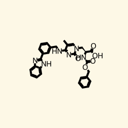 Cc1cn(C[C@H](NC(=O)OCc2ccccc2)C(=O)O)c(=O)nc1NCc1cccc(-c2nc3ccccc3[nH]2)c1